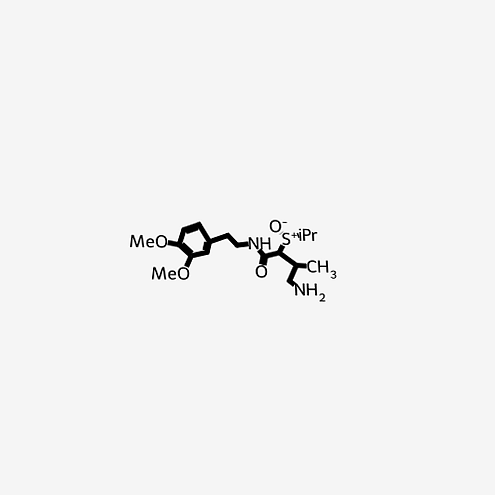 COc1ccc(CCNC(=O)C(C(C)CN)[S+]([O-])C(C)C)cc1OC